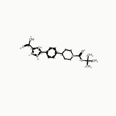 CC(C)(C)OC(=O)N1CCC(c2ccc(-c3nnc(C(=O)O)s3)cc2)CC1